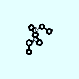 C1=C(c2ccccc2)C=C(n2c3ccccc3c3cc4c(cc32)c2ccccc2n4C2=CCCC(c3ccccc3)=C2)CC1